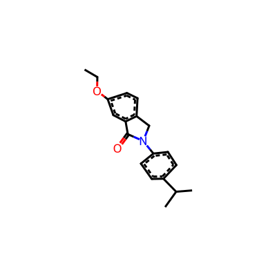 CCOc1ccc2c(c1)C(=O)N(c1ccc(C(C)C)cc1)C2